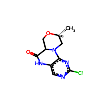 C[C@@H]1CN2c3nc(Cl)ncc3NC(=O)C2CO1